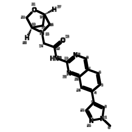 Cn1cc(-c2ccc3cnc(NC(=O)CN4C[C@H]5C[C@@H]4CO5)nc3c2)cn1